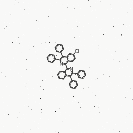 Clc1ccc2c(-c3nc(-c4ccccc4)c(-c4ccccc4)c4ccccc34)nc(-c3ccccc3)c(-c3ccccc3)c2c1